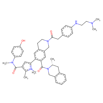 Cc1c(C(=O)N(C)c2ccc(O)cc2)cc(-c2cc3c(cc2C(=O)N2Cc4ccccc4C[C@H]2C)CN(C(=O)Cc2ccc(NCCN(C)C)cc2)CC3)n1C